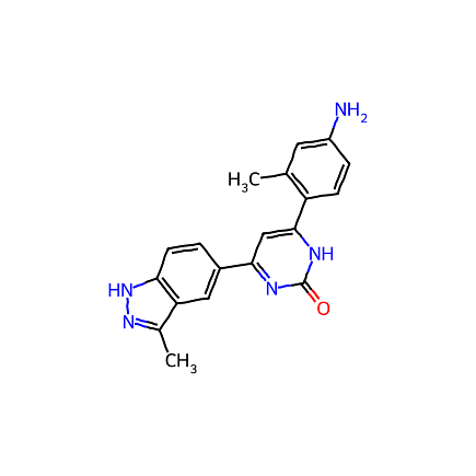 Cc1cc(N)ccc1-c1cc(-c2ccc3[nH]nc(C)c3c2)nc(=O)[nH]1